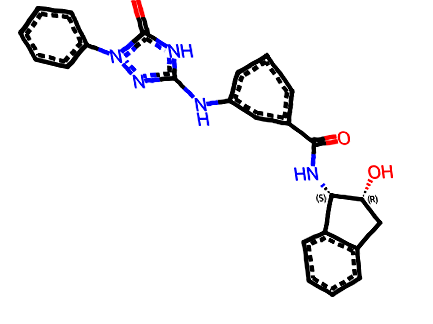 O=C(N[C@H]1c2ccccc2C[C@H]1O)c1cccc(Nc2nn(-c3ccccc3)c(=O)[nH]2)c1